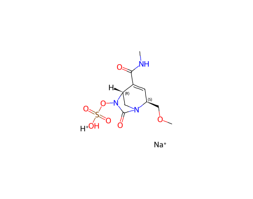 CNC(=O)C1=C[C@@H](COC)N2C[C@@H]1N(OS(=O)(=O)O)C2=O.[H+].[Na+]